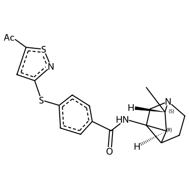 CC(=O)c1cc(Sc2ccc(C(=O)N[C@@H]3C4CCN(CC4)[C@H]3C)cc2)ns1